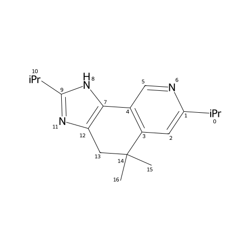 CC(C)c1cc2c(cn1)-c1[nH]c(C(C)C)nc1CC2(C)C